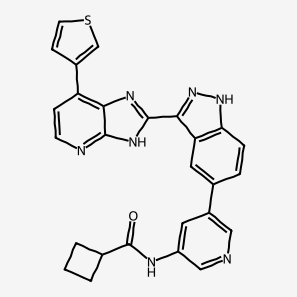 O=C(Nc1cncc(-c2ccc3[nH]nc(-c4nc5c(-c6ccsc6)ccnc5[nH]4)c3c2)c1)C1CCC1